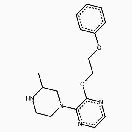 CC1CN(c2nccnc2OCCOc2ccccc2)CCN1